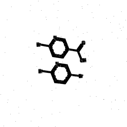 Brc1ccc(Br)nc1.O=C(O)c1ccc(Br)nc1